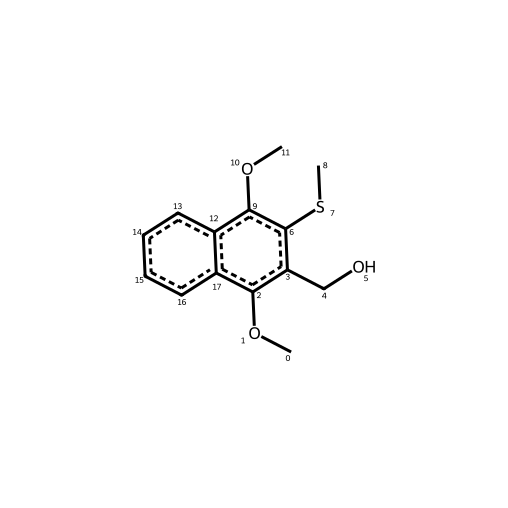 COc1c(CO)c(SC)c(OC)c2ccccc12